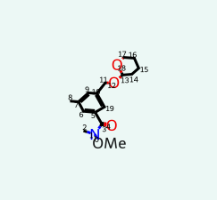 CON(C)C(=O)c1cc(C)cc(COC2CCCCO2)c1